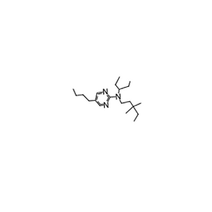 CCCCc1cnc(N(CCC(C)(C)CC)C(CC)CC)nc1